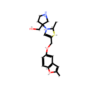 Cc1cc2cc(OCC3=CN(C4(CO)CCNC4)C(C)S3)ccc2o1